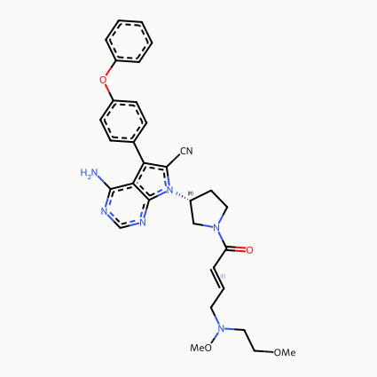 COCCN(C/C=C/C(=O)N1CC[C@@H](n2c(C#N)c(-c3ccc(Oc4ccccc4)cc3)c3c(N)ncnc32)C1)OC